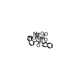 COC(=O)COc1c(NC(=O)C(c2cccc3ccccc23)P(=O)(O)O)ccc2ccccc12